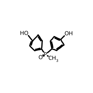 CP(=O)(c1ccc(O)cc1)c1ccc(O)cc1